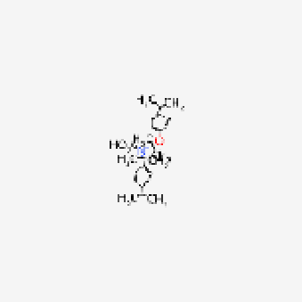 C=C(C)c1ccc(OC(C)(C)N(C(=O)O)C(C)(C)c2ccc(C(=C)C)cc2)cc1